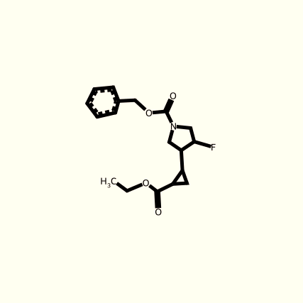 CCOC(=O)C1CC1C1CN(C(=O)OCc2ccccc2)CC1F